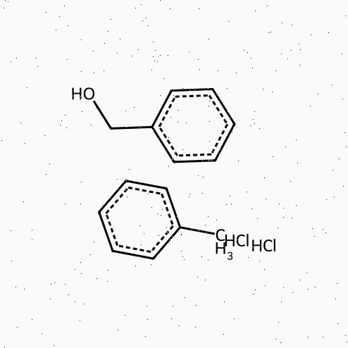 Cc1ccccc1.Cl.Cl.OCc1ccccc1